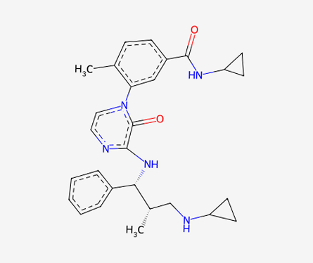 Cc1ccc(C(=O)NC2CC2)cc1-n1ccnc(N[C@@H](c2ccccc2)[C@@H](C)CNC2CC2)c1=O